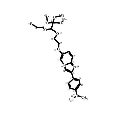 CCOC(OCC)(OCC)C(OCCF)OCCOc1ccc2nc(-c3ccc(N(C)C)cc3)cn2c1